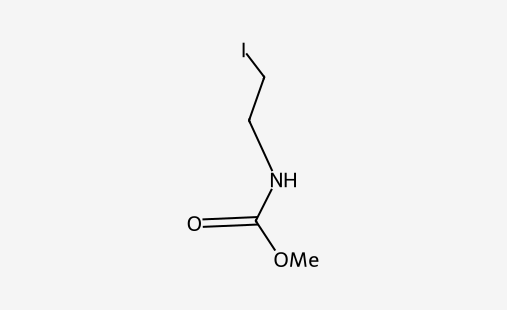 COC(=O)NCCI